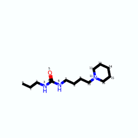 CCCNC(=O)NCCCCN1CC[CH]CC1